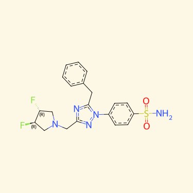 NS(=O)(=O)c1ccc(-n2nc(CN3C[C@@H](F)[C@H](F)C3)nc2Cc2ccccc2)cc1